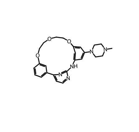 CN1CCN(c2cc3cc(c2)OCCOCCOc2cccc(c2)-c2ccnc(n2)N3)CC1